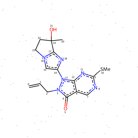 C=CCn1c(=O)c2cnc(SC)nc2n1-c1cn2c(n1)C(C)(O)CC2